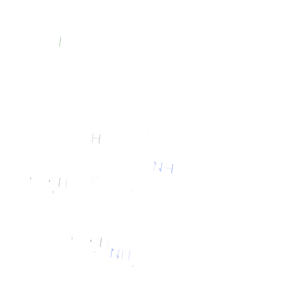 CC(Cc1ccccc1)(NC(=O)CN)c1cccc(Cl)c1.O=C(O)/C=C\C(=O)O